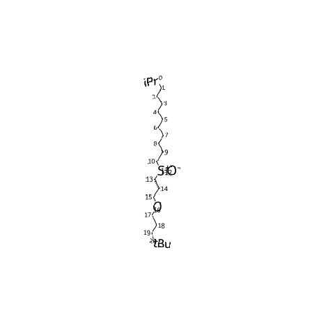 CC(C)CCCCCCCCCC[S+]([O-])CCCOCCCC(C)(C)C